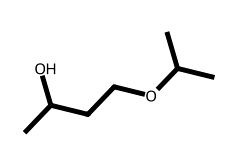 CC(O)CCOC(C)C